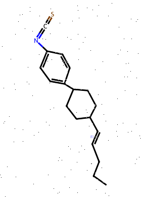 CCC/C=C/C1CCC(c2ccc(N=C=S)cc2)CC1